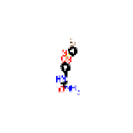 CC(C)(NCc1ccc(OS(=O)(=O)c2cccc(Br)c2)cc1)C(N)=O